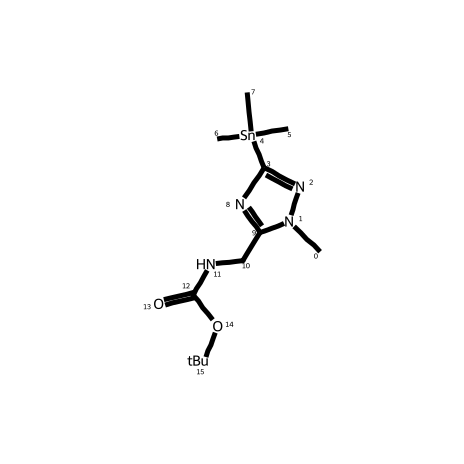 Cn1n[c]([Sn]([CH3])([CH3])[CH3])nc1CNC(=O)OC(C)(C)C